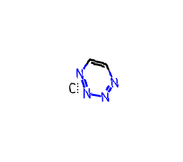 [C].c1cnnnn1